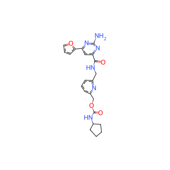 Nc1nc(C(=O)NCc2cccc(COC(=O)NC3CCCC3)n2)cc(-c2ccco2)n1